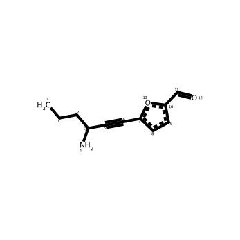 CCCC(N)C#Cc1ccc(C=O)o1